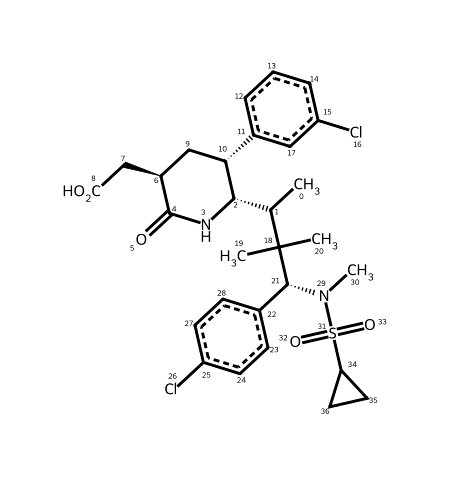 CC([C@@H]1NC(=O)[C@@H](CC(=O)O)C[C@@H]1c1cccc(Cl)c1)C(C)(C)[C@@H](c1ccc(Cl)cc1)N(C)S(=O)(=O)C1CC1